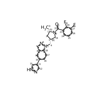 C[C@H]1C[C@@H](Cn2ncc3cc(-c4cn[nH]c4)ccc32)CN1C(=O)c1cccc(F)c1F